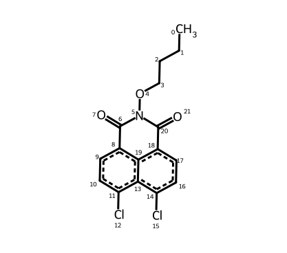 CCCCON1C(=O)c2ccc(Cl)c3c(Cl)ccc(c23)C1=O